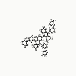 c1ccc(-c2cccc(-c3c4ccccc4c(-c4ccc5c(-c6cccc(-c7ccccn7)n6)c6ccccc6c(-c6cccc(-c7ccccn7)n6)c5c4)c4ccccc34)n2)nc1